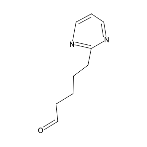 O=CCCCCc1ncccn1